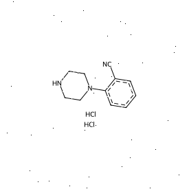 Cl.Cl.N#Cc1ccccc1N1CCNCC1